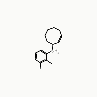 Cc1cccc([SiH2]C2C=CCCCCC2)c1C